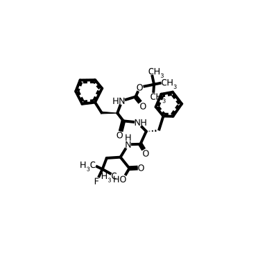 CC(C)(F)CC(NC(=O)[C@@H](Cc1ccccc1)NC(=O)[C@@H](Cc1ccccc1)NC(=O)OC(C)(C)C)C(=O)O